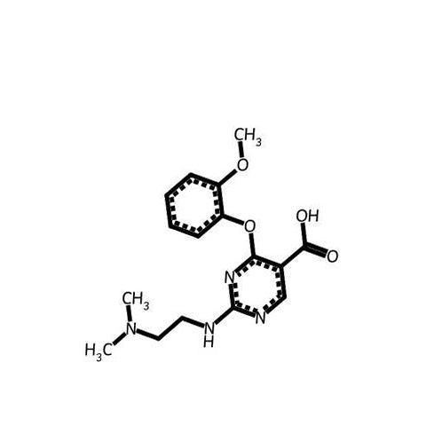 COc1ccccc1Oc1nc(NCCN(C)C)ncc1C(=O)O